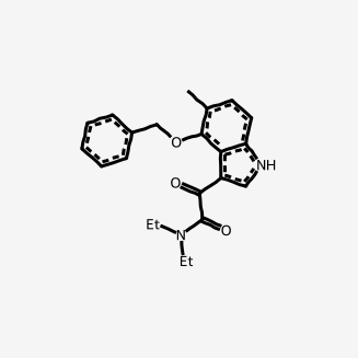 CCN(CC)C(=O)C(=O)c1c[nH]c2ccc(C)c(OCc3ccccc3)c12